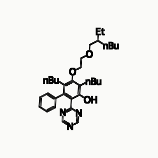 CCCCc1c(O)c(-c2ncncn2)c(-c2ccccc2)c(CCCC)c1OCCOCC(CC)CCCC